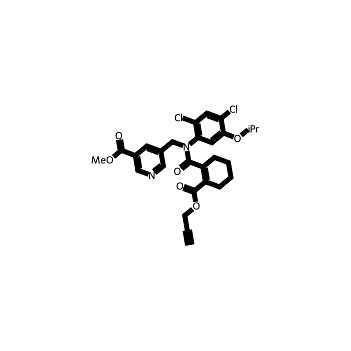 C#CCOC(=O)C1=C(C(=O)N(Cc2cncc(C(=O)OC)c2)c2cc(OC(C)C)c(Cl)cc2Cl)CCCC1